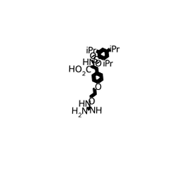 CC(C)c1cc(C(C)C)c(S(=O)(=O)N[C@@H](Cc2ccc(OCCCONC(=N)N)cc2)C(=O)O)c(C(C)C)c1